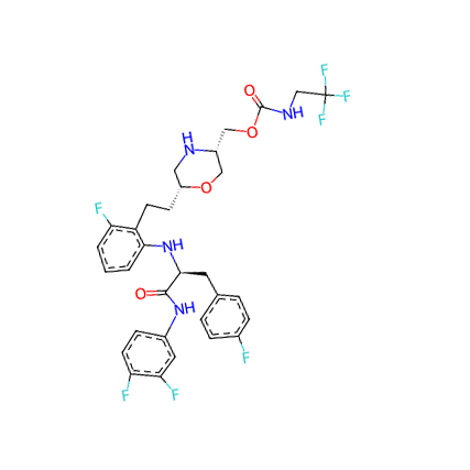 O=C(NCC(F)(F)F)OC[C@@H]1CO[C@H](CCc2c(F)cccc2N[C@@H](Cc2ccc(F)cc2)C(=O)Nc2ccc(F)c(F)c2)CN1